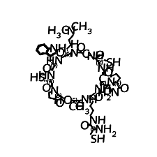 C[C@@H]1OC(=O)[C@@H]2CCCN2C(=O)[C@H](CS)NC(=O)[C@H](Cc2c[nH]c3ccccc23)NC(=O)[C@H](CCCCN(C)C)NC(=O)CNC(=O)[C@H](CS)NC(=O)C[C@@H](C(=O)N2CCC[C@H]2C(N)=O)NC(=O)[C@H](CCCCNC(=O)[C@@H](N)CS)NC1=O